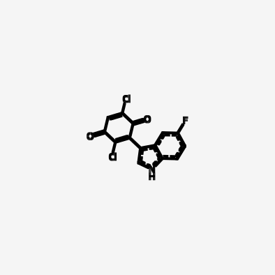 O=C1C=C(Cl)C(=O)C(c2c[nH]c3ccc(F)cc23)=C1Cl